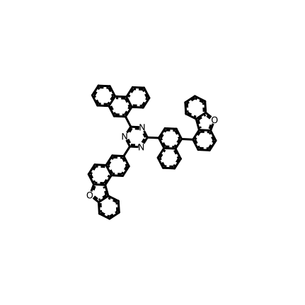 c1ccc2c(c1)cc(-c1nc(-c3ccc4c(ccc5oc6ccccc6c54)c3)nc(-c3ccc(-c4cccc5oc6ccccc6c45)c4ccccc34)n1)c1ccccc12